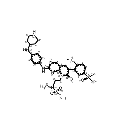 Cc1ccc(S(=O)(=O)C(C)C)cc1-c1cc2cnc(Nc3ccc(NC4CCNCC4)cc3)nc2n(CCN(C)S(C)(=O)=O)c1=O